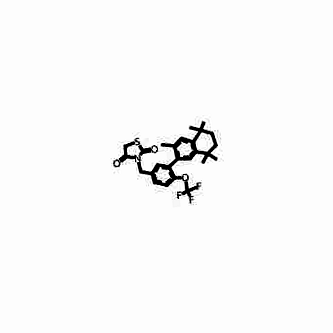 Cc1cc2c(cc1-c1cc(CN3C(=O)CSC3=O)ccc1OC(F)(F)F)C(C)(C)CCC2(C)C